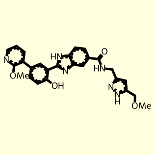 COCc1cc(CNC(=O)c2ccc3[nH]c(-c4cc(-c5cccnc5OC)ccc4O)nc3c2)n[nH]1